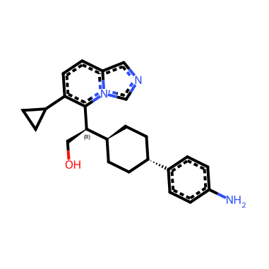 Nc1ccc([C@H]2CC[C@H]([C@@H](CO)c3c(C4CC4)ccc4cncn34)CC2)cc1